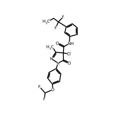 CCC(F)(F)c1cccc(NC(=O)C2(Cl)C(=O)N(c3ccc(OC(F)F)cc3)N=C2C)c1